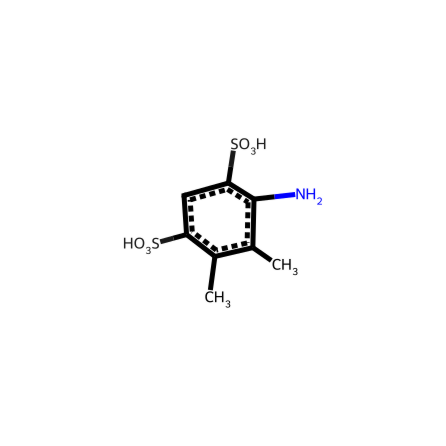 Cc1c(S(=O)(=O)O)cc(S(=O)(=O)O)c(N)c1C